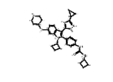 O=C(Nc1ccc(-c2c(-c3nc(C4CC4)no3)c3ccc(OC4CCOCC4)cc3n2C2CCC2)cc1)NC1CCC1